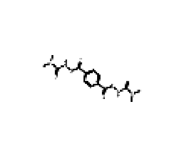 CN(C)C(=O)NSC(=O)c1ccc(C(=O)SNC(=O)N(C)C)cc1